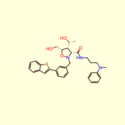 C[C@@H](O)[C@H]1[C@@H](CO)ON(Cc2cccc(-c3cc4ccccc4s3)c2)[C@H]1C(=O)NCCCN(C)c1ccccc1